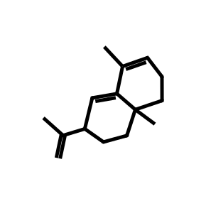 C=C(C)C1C=C2C(C)=CCCC2(C)CC1